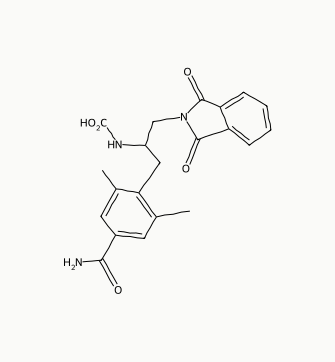 Cc1cc(C(N)=O)cc(C)c1CC(CN1C(=O)c2ccccc2C1=O)NC(=O)O